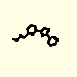 CON=Cc1cccc(-c2cnc(-c3cccnc3)s2)n1